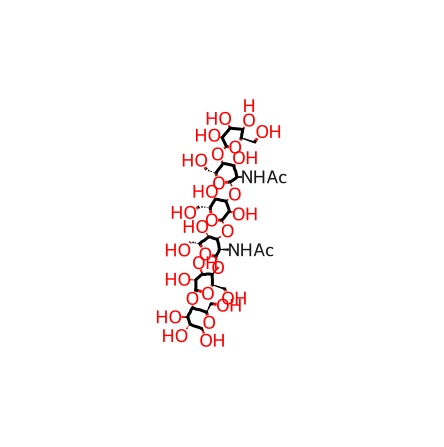 CC(=O)N[C@H]1[C@H](O[C@H]2[C@@H](O)[C@@H](CO)O[C@@H](O[C@H]3[C@@H](O)[C@@H](CO)O[C@@H](O[C@@H]4[C@H](O)[C@@H](O)[C@H](O[C@H]5[C@H](O)[C@@H](O)[C@H](O)O[C@@H]5CO)O[C@@H]4CO)[C@@H]3NC(C)=O)[C@@H]2O)O[C@H](CO)[C@@H](O[C@@H]2O[C@H](CO)[C@H](O)[C@H](O)[C@H]2O)[C@@H]1O